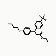 CCCCOc1ccc(C(CC(=O)OCC)c2ccc(C(F)(F)F)cc2)cc1